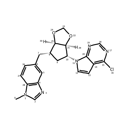 Cn1cnc2cc(C[C@H]3C[C@@H](n4ccc5c(Cl)ncnc54)[C@@H]4OCO[C@H]34)ccc21